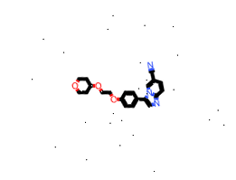 N#Cc1ccc2ncc(-c3ccc(OCCOC4CCOCC4)cc3)n2c1